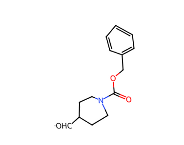 O=[C]C1CCN(C(=O)OCc2ccccc2)CC1